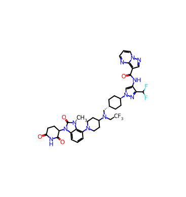 Cn1c(=O)n(C2CCC(=O)NC2=O)c2cccc(N3CCC(N(CC(F)(F)F)C[C@H]4CC[C@H](n5cc(NC(=O)c6cnn7cccnc67)c(C(F)F)n5)CC4)CC3)c21